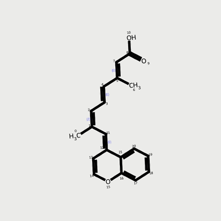 CC(=C/C=C/C(C)=C/C(=O)O)/C=C1\C=COc2ccccc21